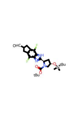 CC(C)(C)OC(=O)N1C[C@@H](O[Si](C)(C)C(C)(C)C)C[C@@H]1c1nc2c(F)c3c(c(F)c2[nH]1)CC(C=O)C3